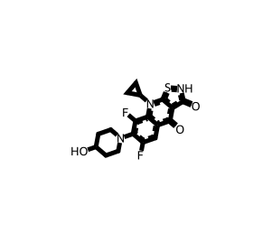 O=c1[nH]sc2c1c(=O)c1cc(F)c(N3CCC(O)CC3)c(F)c1n2C1CC1